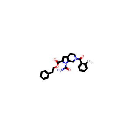 NC(=O)n1c(C(=O)OCCc2ccccc2)cc2c1CN(C(=O)c1ccccc1C(F)(F)F)CC2